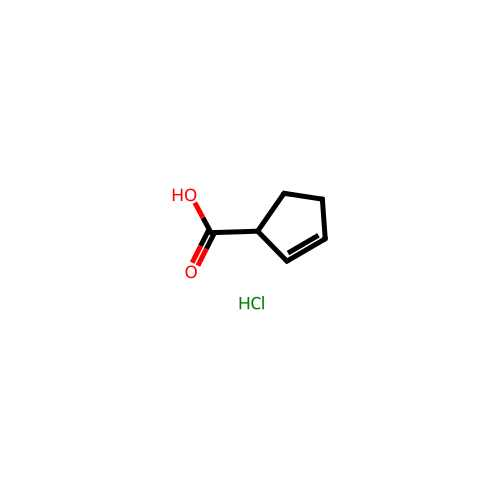 Cl.O=C(O)C1C=CCC1